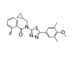 COc1c(C)cc(-c2nnc(N(CC3CC3)C(=O)c3ccccc3F)s2)cc1C